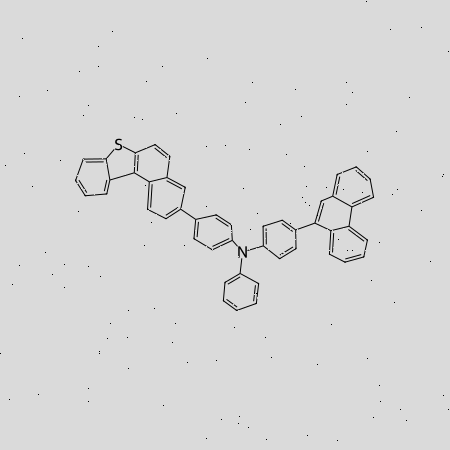 c1ccc(N(c2ccc(-c3ccc4c(ccc5sc6ccccc6c54)c3)cc2)c2ccc(-c3cc4ccccc4c4ccccc34)cc2)cc1